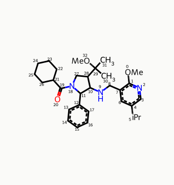 COc1ncc(C(C)C)cc1CNC1C(c2ccccc2)N(C(=O)C2CCCCC2)CC1C(C)(C)OC